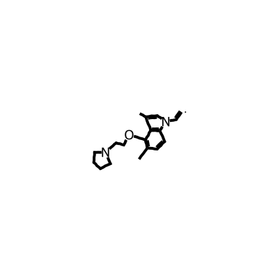 [CH]=Cn1cc(C)c2c(OCCN3CCCC3)c(C)ccc21